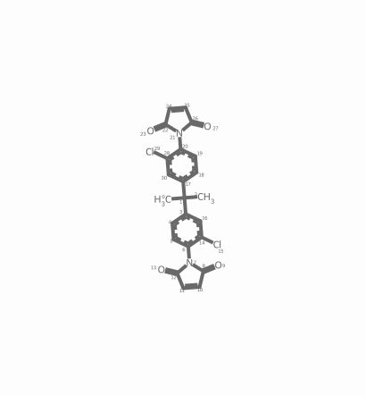 CC(C)(c1ccc(N2C(=O)C=CC2=O)c(Cl)c1)c1ccc(N2C(=O)C=CC2=O)c(Cl)c1